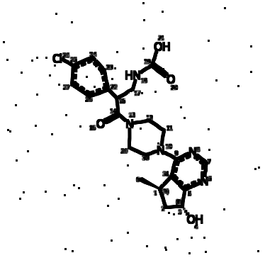 C[C@@H]1C[C@@H](O)c2ncnc(N3CCN(C(=O)C(CNC(=O)O)c4ccc(Cl)cc4)CC3)c21